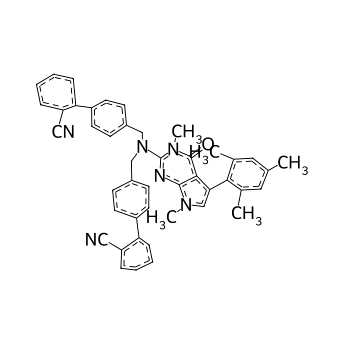 Cc1cc(C)c(-c2cn(C)c3nc(N(Cc4ccc(-c5ccccc5C#N)cc4)Cc4ccc(-c5ccccc5C#N)cc4)n(C)c(=O)c23)c(C)c1